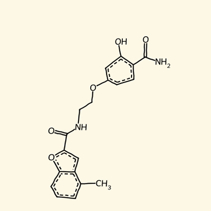 Cc1cccc2oc(C(=O)NCCOc3ccc(C(N)=O)c(O)c3)cc12